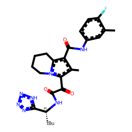 Cc1cc(NC(=O)c2c(C)c(C(=O)C(=O)N[C@@H](c3nnn[nH]3)C(C)(C)C)n3c2CCCC3)ccc1F